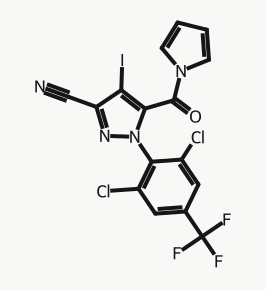 N#Cc1nn(-c2c(Cl)cc(C(F)(F)F)cc2Cl)c(C(=O)n2cccc2)c1I